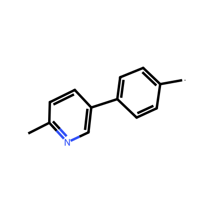 [CH2]c1ccc(-c2ccc(C)nc2)cc1